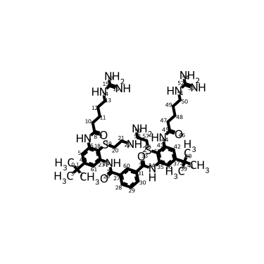 CC(C)(C)c1cc(NC(=O)CCCCNC(=N)N)c(SCCN)c(NC(=O)c2cccc(C(=O)Nc3cc(C(C)(C)C)cc(NC(=O)CCCCNC(=N)N)c3SCCN)c2)c1